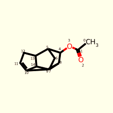 CC(=O)OC1C2CC3C1CC1=CCC2C13